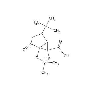 C[SiH](C)OC12C(=O)CC(C(C)(C)C)C1C2(F)C(=O)O